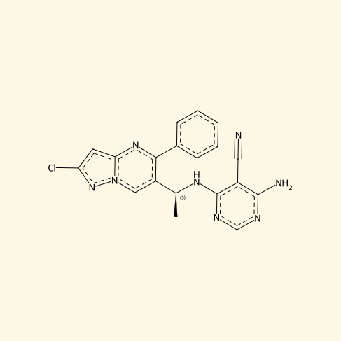 C[C@H](Nc1ncnc(N)c1C#N)c1cn2nc(Cl)cc2nc1-c1ccccc1